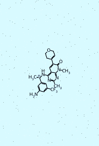 Cc1nc(N[C@H](C)c2cc(N)cc(C(F)(F)F)c2)c2cc(C3=CCOCC3)c(=O)n(C)c2n1